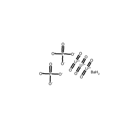 O=P([O-])([O-])[O-].O=P([O-])([O-])[O-].[BaH2].[O]=[U+2]=[O].[O]=[U+2]=[O].[O]=[U+2]=[O]